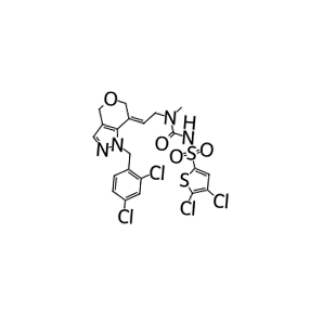 CN(CC=C1COCc2cnn(Cc3ccc(Cl)cc3Cl)c21)C(=O)NS(=O)(=O)c1cc(Cl)c(Cl)s1